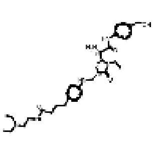 CCN(CC)CCNC(=O)CCCc1ccc(NC[C@H]2SC([C@H](N)C(=O)Nc3ccc(CO)cc3)N(CC)C2=O)cc1